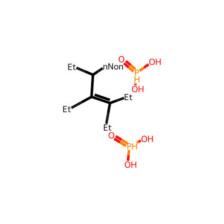 CCCCCCCCCC(CC)C(CC)=C(CC)CC.O=[PH](O)O.O=[PH](O)O